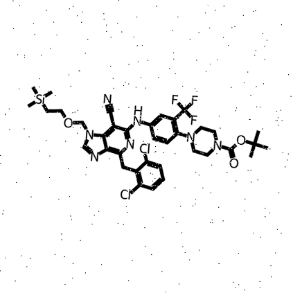 CC(C)(C)OC(=O)N1CCN(c2ccc(Nc3nc(Cc4c(Cl)cccc4Cl)c4ncn(COCC[Si](C)(C)C)c4c3C#N)cc2C(F)(F)F)CC1